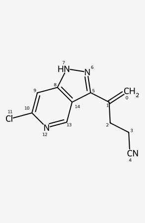 C=C(CCC#N)c1n[nH]c2cc(Cl)ncc12